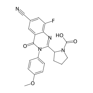 COc1ccc(-n2c(C3CCCN3C(=O)O)nc3c(F)cc(C#N)cc3c2=O)cc1